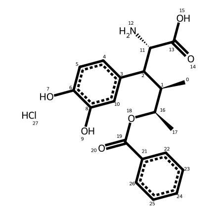 C[C@H](C(c1ccc(O)c(O)c1)[C@H](N)C(=O)O)[C@@H](C)OC(=O)c1ccccc1.Cl